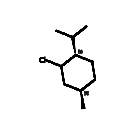 CC(C)[C@@H]1CC[C@@H](C)CC1Cl